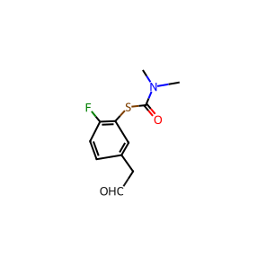 CN(C)C(=O)Sc1cc(CC=O)ccc1F